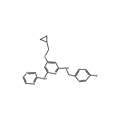 Fc1ccc(CNc2cc(OCC3CC3)cc(Nc3cnccn3)n2)cc1